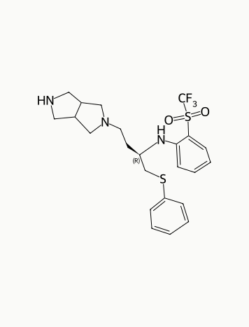 O=S(=O)(c1ccccc1N[C@H](CCN1CC2CNCC2C1)CSc1ccccc1)C(F)(F)F